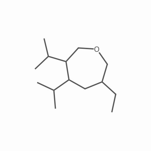 CCC1COCC(C(C)C)C(C(C)C)C1